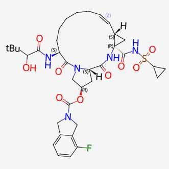 CC(C)(C)C(O)C(=O)N[C@H]1CCCCC/C=C\[C@@H]2C[C@@]2(C(=O)NS(=O)(=O)C2CC2)NC(=O)[C@@H]2C[C@@H](OC(=O)N3Cc4cccc(F)c4C3)CN2C1=O